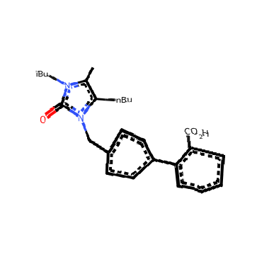 CCCCc1c(C)n(C(C)CC)c(=O)n1Cc1ccc(-c2ccccc2C(=O)O)cc1